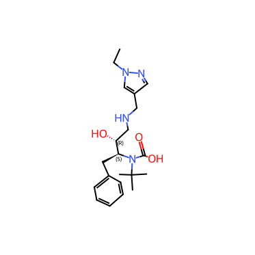 CCn1cc(CNC[C@@H](O)[C@H](Cc2ccccc2)N(C(=O)O)C(C)(C)C)cn1